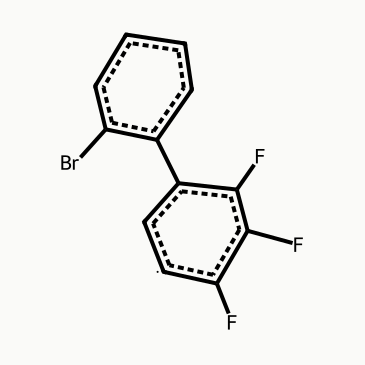 Fc1[c]cc(-c2ccccc2Br)c(F)c1F